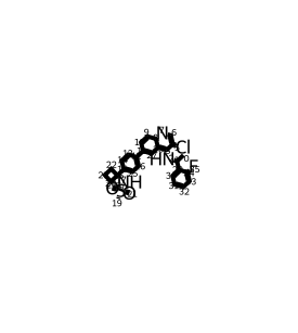 CC(Nc1c(Cl)cnc2ccc(-c3ccc(C4(NS(C)(=O)=O)CCC4)cc3)cc12)c1ccccc1F